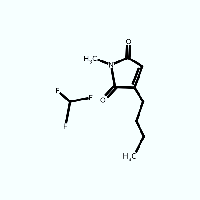 CCCCC1=CC(=O)N(C)C1=O.FC(F)F